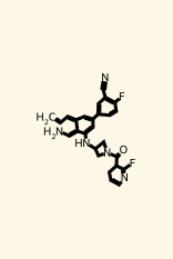 C=C/C=c1/cc(-c2ccc(F)c(C#N)c2)cc(NC2CN(C(=O)C3CC=CN=C3F)C2)/c1=C/N